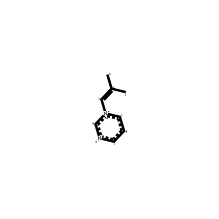 CC(C)=C[n+]1cccnc1